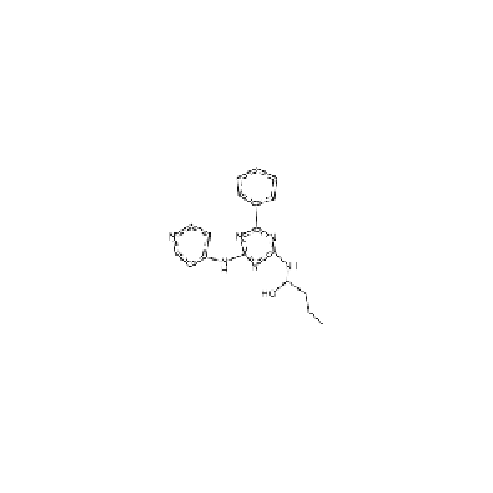 CCCC(O)Nc1nc(Nc2ccncc2)nc(-c2ccccc2)n1